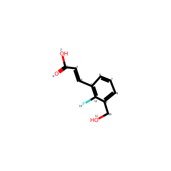 O=C(O)/C=C/c1cccc(CO)c1F